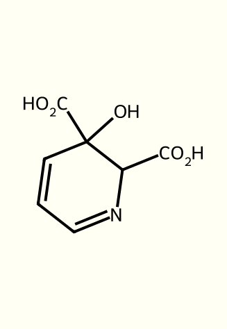 O=C(O)C1N=CC=CC1(O)C(=O)O